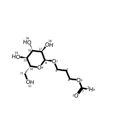 [2H]C(=O)OCCCO[C@H]1O[C@H](CO)[C@@H](O)[C@H](O)[C@H]1O